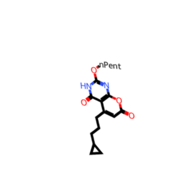 CCCCCOc1nc2oc(=O)cc(CCCC3CC3)c2c(=O)[nH]1